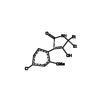 CCC1(CC)NC(=O)C(c2ccc(Cl)cc2OC)=C1O